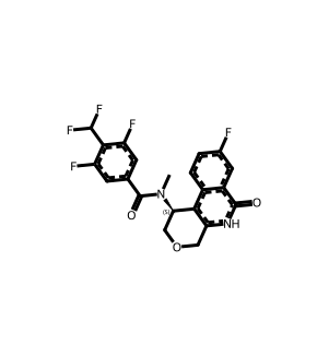 CN(C(=O)c1cc(F)c(C(F)F)c(F)c1)[C@@H]1COCc2[nH]c(=O)c3cc(F)ccc3c21